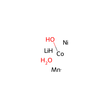 O.[LiH].[Mn].[Ni].[OH][Co]